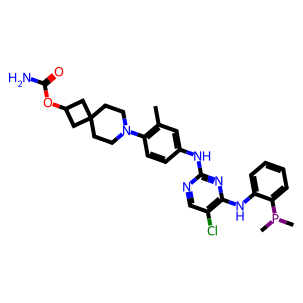 Cc1cc(Nc2ncc(Cl)c(Nc3ccccc3P(C)C)n2)ccc1N1CCC2(CC1)CC(OC(N)=O)C2